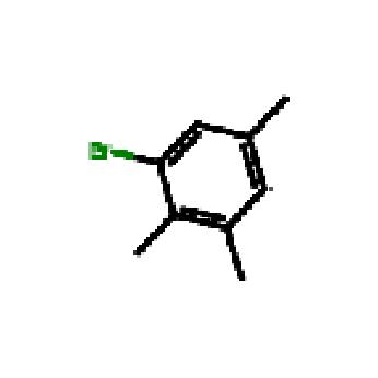 Cc1[c]c(C)c(C)c(Br)c1